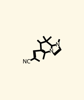 CC1=C(/C=C(\C)C#N)C(C)C(C)(C)C2N(C)C=CN12